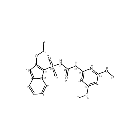 CCOc1nc2ccccn2c1S(=O)(=O)NC(=O)Nc1nc(OC)cc(OC)n1